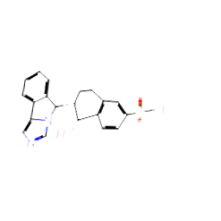 CS(=O)(=O)c1ccc2c(c1)CC[C@H](C1c3ccccc3-c3cncn31)[C@H]2O